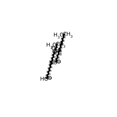 CC(C)CC(=O)O.CC(C)CCCCCCCCCCCCCCC(=O)O.CCCCCCCCCCCCCCCC(=O)O